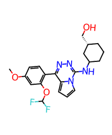 COc1ccc(-c2nnc(NC3CCC[C@@H](CO)C3)n3cccc23)c(OC(F)F)c1